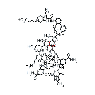 CCn1nc(C)cc1C(=O)Nc1nc2cc(C(N)=O)cc(OC)c2n1C/C=C/Cn1c(NC(=O)c2cc(C)nn2CC)nc2cc(C(N)=O)cc(OCCCNC(=O)[C@H](CC(=O)O)NC(=O)[C@H](CC(=O)O)NC(=O)[C@H](CCCCN)NC(=O)[C@H](CC(=O)O)NC(=O)CCCN3CCc4c(nc(C(=O)Nc5cccc(-c6cccc(NC(=O)c7nc8c(n7C)CCN(CCCC(=O)O)C8)c6Cl)c5Cl)n4C)C3)c21